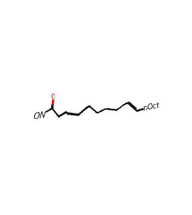 CCCCCCCCC=CCCCCCCCC(=O)N=O